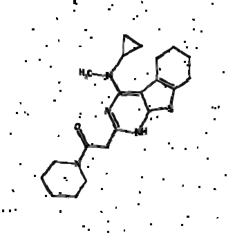 CN(C1=C2C3=C(CCCC3)SC2NC(CC(=O)N2CCCCC2)=N1)C1CC1